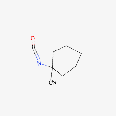 N#CC1(N=C=O)CCCCC1